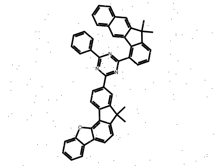 CC1(C)c2cc3ccccc3cc2-c2c(-c3nc(-c4ccccc4)nc(-c4ccc5c(c4)C(C)(C)c4ccc6c(oc7ccccc76)c4-5)n3)cccc21